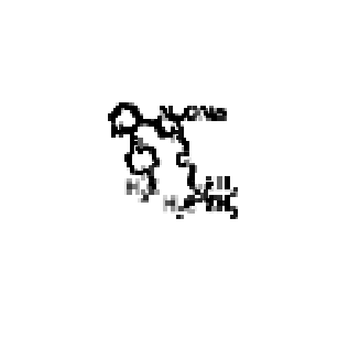 COc1nc(-c2cccnc2N2CCN(C)CC2)cn1COCC[Si](C)(C)C